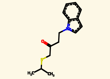 CC(C)SCC(=O)CCn1ccc2ccccc21